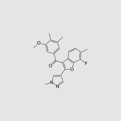 COc1cc(C(=O)c2c(-c3cnn(C)c3)oc3c(F)c(C)ccc23)cc(C)c1C